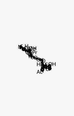 COc1cc(-c2scnc2C)ccc1[C@H](C)NC(=O)[C@@H]1C[C@@H](O)CN1C(=O)[C@@H](c1cc(OCCOCCOCCN(C)C(=O)CCNc2nc(N3CCN(C(C)=O)CC3)c3cc(Cl)c(-c4cc(O)cc5ccccc45)c(F)c3n2)no1)C(C)C